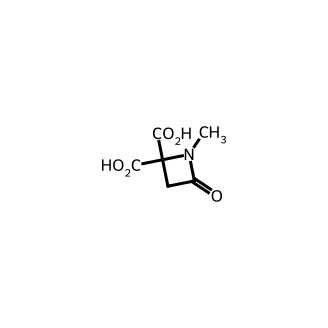 CN1C(=O)CC1(C(=O)O)C(=O)O